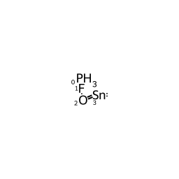 P.[F].[O]=[Sn]